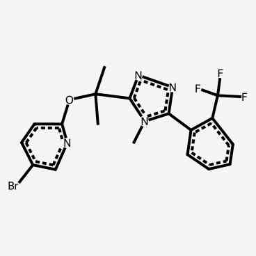 Cn1c(-c2ccccc2C(F)(F)F)nnc1C(C)(C)Oc1ccc(Br)cn1